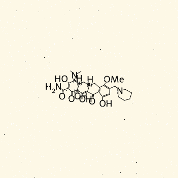 COc1c(CN2CCCCC2)cc(O)c2c1C[C@H]1C[C@H]3[C@H](N(C)C)C(O)=C(C(N)=O)C(=O)[C@@]3(O)C(O)=C1C2=O